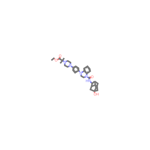 CCOC(=O)C(C)(C)N1CCN(c2ccc(N3CCN(C(=O)NC4C5CC6CC4CC(O)(C6)C5)c4ccccc43)cc2)CC1